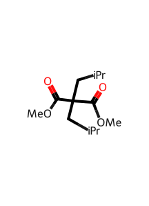 COC(=O)C(CC(C)C)(CC(C)C)C(=O)OC